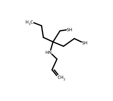 C=CCNC(CS)(CCC)CCS